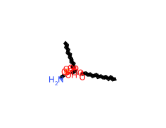 CC=CCC=CCC=CCC=CCC(=O)OC[C@H](COP(=O)(O)OCCN)OC(=O)CC=CCC=CCC=CC